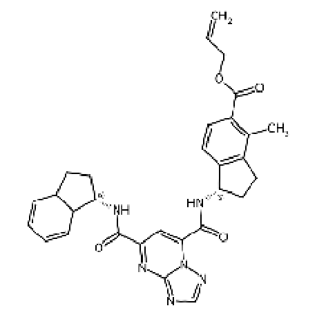 C=CCOC(=O)c1ccc2c(c1C)CC[C@@H]2NC(=O)c1cc(C(=O)N[C@H]2CCC3C=CC=CC32)nc2ncnn12